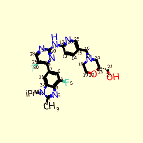 Cc1nc2c(F)cc(-c3nc(Nc4ccc(CN5CCO[C@@H](CO)C5)cn4)ncc3F)cc2n1C(C)C